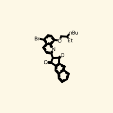 CCCCC(CC)COc1ccc(Br)c2ccc(C3C(=O)c4cc5ccccc5cc4C3=O)nc12